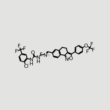 O=C(NS/N=C/c1ccc2c(c1)CCc1c-2noc1-c1ccc(OC(F)(F)F)cc1)Nc1cc(C(F)(F)F)ccc1Cl